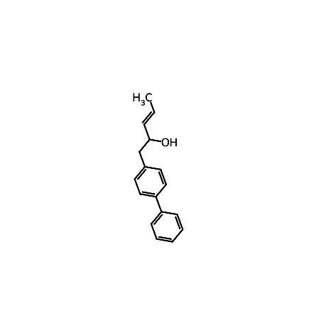 CC=CC(O)Cc1ccc(-c2ccccc2)cc1